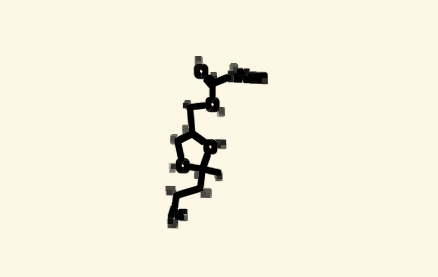 CCCCCCCCCC(=O)OCC1COC(C)(CCC(C)=O)O1